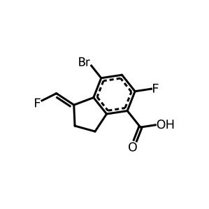 O=C(O)c1c(F)cc(Br)c2c1CCC2=CF